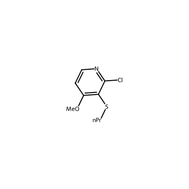 CCCSc1c(OC)ccnc1Cl